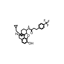 CN(C(=O)CCc1ccc(C(F)(F)F)cc1)C1CC[C@@]2(O)[C@H]3Cc4ccc(O)c5c4[C@@]2(CCN3CC2CC2)C1O5